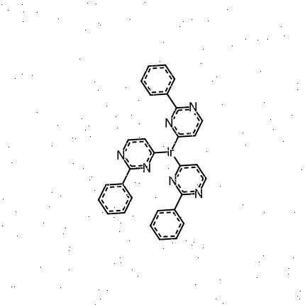 c1ccc(-c2ncc[c]([Ir]([c]3ccnc(-c4ccccc4)n3)[c]3ccnc(-c4ccccc4)n3)n2)cc1